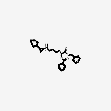 O=C(N[C@@H](CCCCN[C@H]1CC1c1ccccc1)C(=O)NCc1ccccc1)c1ccccc1